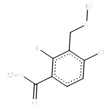 CCSCc1c(Cl)ccc(C(=O)OC)c1F